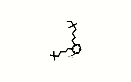 CCC(C)(C)CCCCc1cccc(O)c1CCCCC(C)(C)C